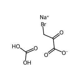 O=C(O)O.O=C([O-])C(=O)CBr.[Na+]